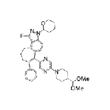 COC(OC)C1CCN(c2cnc(C3=C(c4ccccc4)CCCc4c3ccc3c4c(F)nn3C3CCCCO3)cn2)CC1